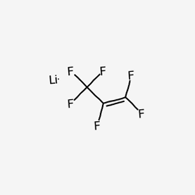 FC(F)=C(F)C(F)(F)F.[Li]